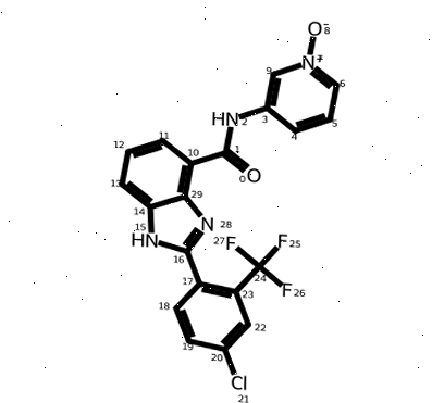 O=C(Nc1ccc[n+]([O-])c1)c1cccc2[nH]c(-c3ccc(Cl)cc3C(F)(F)F)nc12